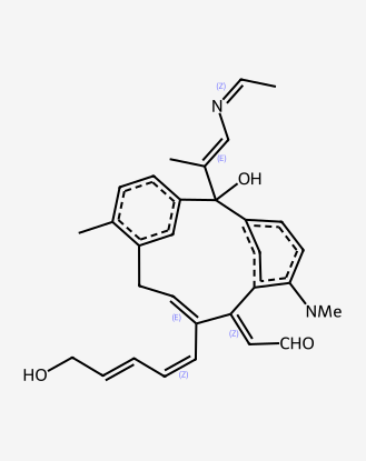 C/C=N\C=C(/C)C1(O)c2ccc(C)c(c2)C/C=C(\C=C/C=CCO)C(=C/C=O)/c2cc1ccc2NC